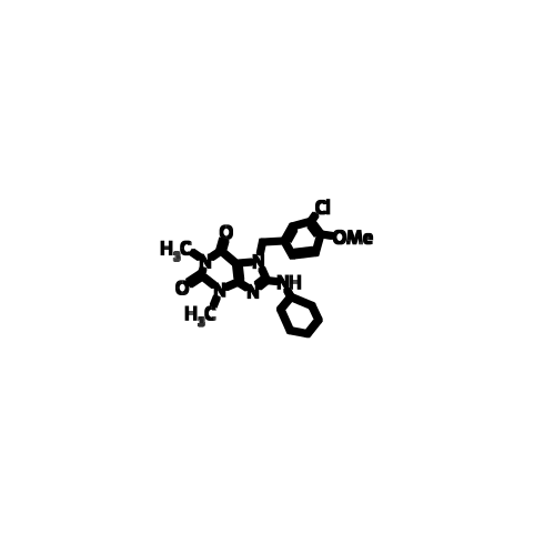 COc1ccc(Cn2c(NC3CCCCC3)nc3c2c(=O)n(C)c(=O)n3C)cc1Cl